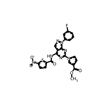 COC(=O)c1ccn(-c2nc(NC(=O)c3ccc([N+](=O)[O-])s3)c3cnn(-c4cccc(F)c4)c3n2)c1